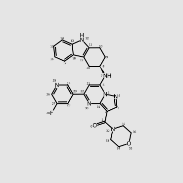 O=C(c1cnn2c(N[C@@H]3CCc4[nH]c5ccccc5c4C3)cc(-c3cncc(F)c3)nc12)N1CCOCC1